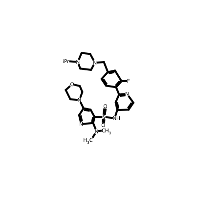 CC(C)N1CCN(Cc2ccc(-c3cc(NS(=O)(=O)c4cc(N5CCOCC5)cnc4N(C)C)ccn3)c(F)c2)CC1